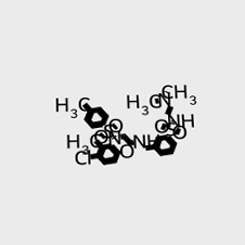 Cc1ccc(S(=O)(=O)N(CC(=O)NCc2cccc(S(=O)(=O)NCCN(C)C)c2)c2cccc(Cl)c2C)cc1